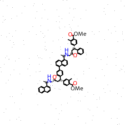 COC(=O)c1ccc([C@H]2C[C@H](CN[C@H](C)c3cccc4c(-c5ccc6c(c5)O[C@@H](CN[C@H](C)c5cccc7ccccc57)C[C@H]6c5ccc(C(=O)OC)c(C)c5)cccc34)Oc3ccccc32)cc1C